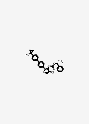 C[C@@H](OC(=O)Nc1c(Cl)cnn1-c1ccc(-c2ccc(C3(C#N)CC3)cc2)cc1)c1ccccc1